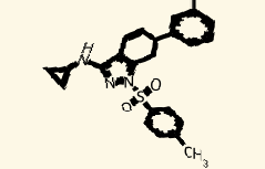 Cc1ccc(S(=O)(=O)n2nc(NC3CC3)c3c2CC(c2ccccc2)C=C3)cc1